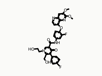 COc1cc2nccc(Oc3ccc(NC(=O)c4cn(CCO)c(CO)c(-c5ccc(F)cc5)c4=O)cc3F)c2nc1OC